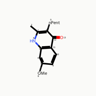 CCCCCc1c(C)[nH]c2cc(OC)ccc2c1=O